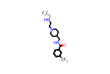 O=C(NCC1CCN(CCNSC(F)(F)F)CC1)c1cccc(C(F)(F)F)c1